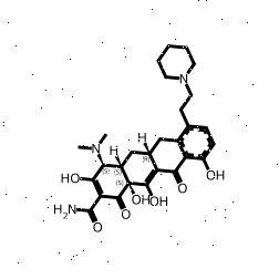 CN(C)[C@@H]1C(O)=C(C(N)=O)C(=O)[C@@]2(O)C(O)=C3C(=O)c4c(O)ccc(CCN5CCCCC5)c4C[C@H]3C[C@@H]12